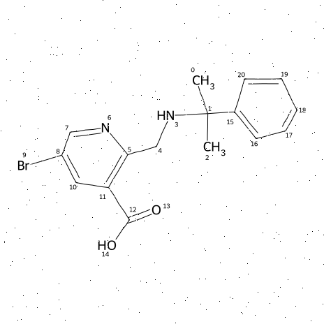 CC(C)(NCc1ncc(Br)cc1C(=O)O)c1ccccc1